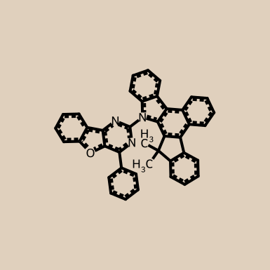 CC1(C)c2ccccc2-c2c1c1c(c3ccccc23)c2ccccc2n1-c1nc(-c2ccccc2)c2oc3ccccc3c2n1